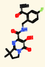 CNC(=O)c1cc(F)ccc1CNC(=O)c1nc2n(c(=O)c1O)CCC2(C)C